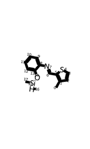 Cc1ccsc1C=Nc1ccccc1O[SiH](C)C